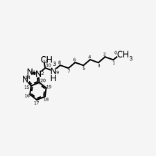 CCCCCCCCCNC(C)n1nnc2ccccc21